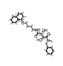 CN(Cc1ccccc1)C(=O)[C@H](O)[C@@H](O)C(=O)NCCCCOc1cccc2ccccc12